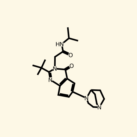 CC(C)NC(=O)Cn1c(C(C)(C)C)nc2ccc(N3CCN4CCC3CC4)cc2c1=O